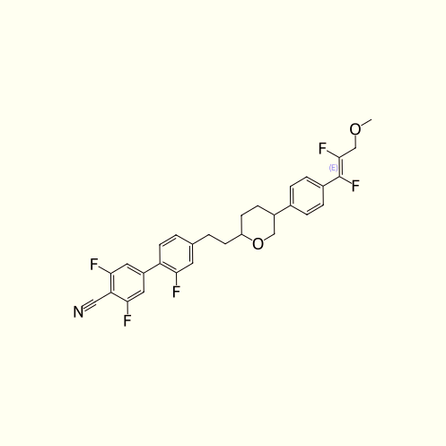 COC/C(F)=C(\F)c1ccc(C2CCC(CCc3ccc(-c4cc(F)c(C#N)c(F)c4)c(F)c3)OC2)cc1